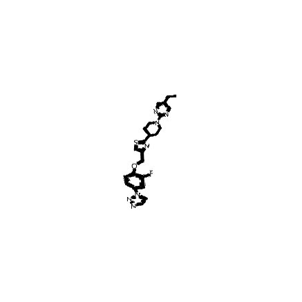 CCc1cnc(N2CCC(c3nc(COc4ccc(-n5ccnn5)cc4F)cs3)CC2)nc1